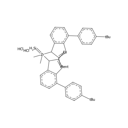 CCCC(C)C1=Cc2c(-c3ccc(C(C)(C)C)cc3)cccc2[CH]1[Zr]([CH3])([CH3])(=[SiH2])[CH]1C(CC)=Cc2c(-c3ccc(C(C)(C)C)cc3)cccc21.Cl.Cl